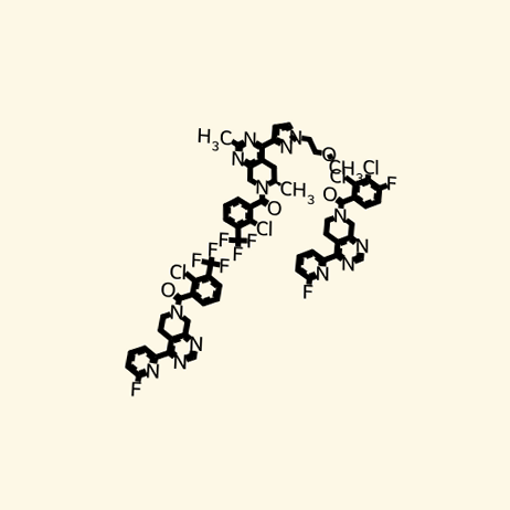 COCCn1ccc(-c2nc(C)nc3c2C[C@@H](C)N(C(=O)c2cccc(C(F)(F)F)c2Cl)C3)n1.O=C(c1ccc(F)c(Cl)c1Cl)N1CCc2c(ncnc2-c2cccc(F)n2)C1.O=C(c1cccc(C(F)(F)F)c1Cl)N1CCc2c(ncnc2-c2cccc(F)n2)C1